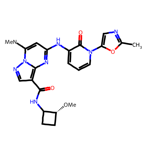 CNc1cc(Nc2cccn(-c3cnc(C)o3)c2=O)nc2c(C(=O)NC3CC[C@H]3OC)cnn12